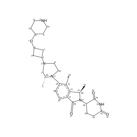 C[C@@H]1CN(C2CC(OC3CCNCC3)C2)CCN1c1ccc2c(c1F)[C@@H](C)N(C1CCC(=O)NC1=O)C2=O